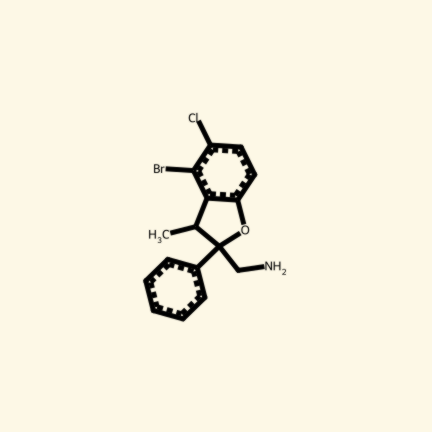 CC1c2c(ccc(Cl)c2Br)OC1(CN)c1ccccc1